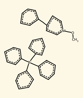 CO[n+]1ccc(-c2ccccc2)cc1.c1ccc([B-](c2ccccc2)(c2ccccc2)c2ccccc2)cc1